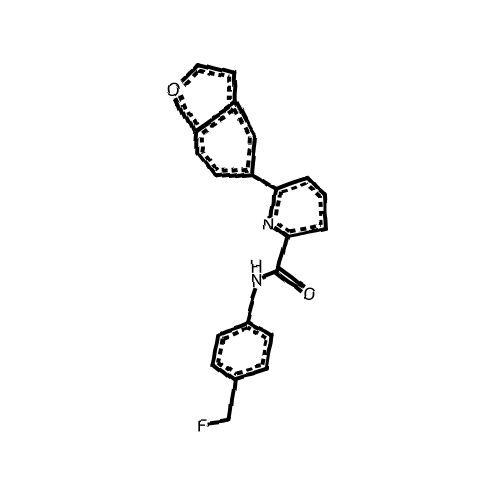 O=C(Nc1ccc(CF)cc1)c1cccc(-c2ccc3occc3c2)n1